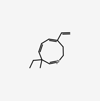 C=C/C1=C/C=C\C(C)(CC)/C=P\CC1